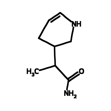 CC(C(N)=O)C1CC=CNC1